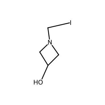 OC1CN(CI)C1